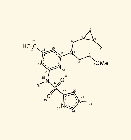 COCCN(CC1CC1C)c1cc(C(=O)O)cc(N(C)S(=O)(=O)c2cn(C)cn2)n1